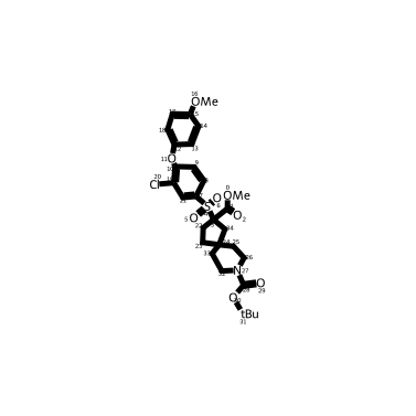 COC(=O)C1(S(=O)(=O)c2ccc(Oc3ccc(OC)cc3)c(Cl)c2)CCC2(CCN(C(=O)OC(C)(C)C)CC2)C1